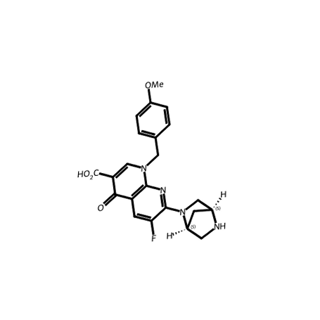 COc1ccc(Cn2cc(C(=O)O)c(=O)c3cc(F)c(N4C[C@@H]5C[C@H]4CN5)nc32)cc1